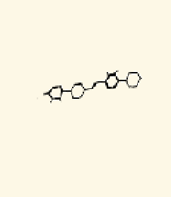 Cc1ccc(C2CCC(/C=C/c3ccc(C4CCCCC4)c(F)c3F)CC2)c(F)c1F